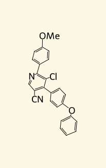 COc1ccc(-c2ncc(C#N)c(-c3ccc(Oc4ccccc4)cc3)c2Cl)cc1